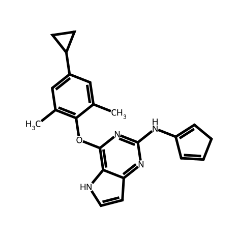 Cc1cc(C2CC2)cc(C)c1Oc1nc(NC2=CCC=C2)nc2cc[nH]c12